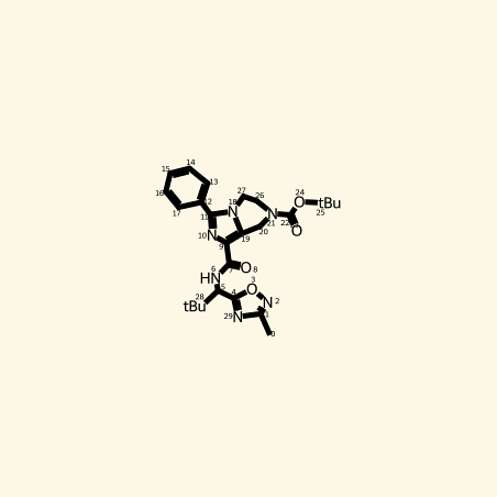 Cc1noc(C(NC(=O)c2nc(-c3ccccc3)n3c2CN(C(=O)OC(C)(C)C)CC3)C(C)(C)C)n1